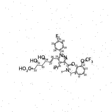 CC(C)c1c(C(=O)N(C)Cc2cccc(OC(F)(F)F)c2)nn(-c2ccc(F)cc2)c1/C=C/[C@@H](O)C[C@@H](O)CC(=O)O